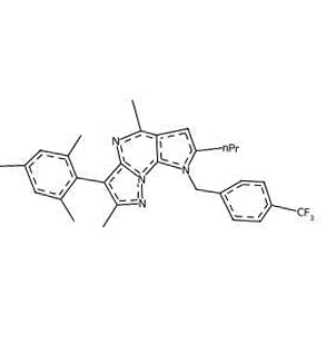 CCCc1cc2c(C)nc3c(-c4c(C)cc(C)cc4C)c(C)nn3c2n1Cc1ccc(C(F)(F)F)cc1